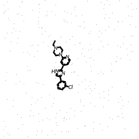 CCN1CCN(c2cc(-c3nc(-c4cccc(Cl)c4)c[nH]3)ccn2)CC1